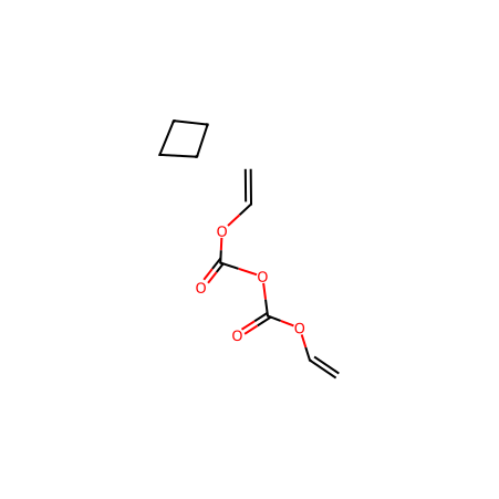 C1CCC1.C=COC(=O)OC(=O)OC=C